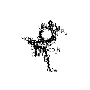 CCCCCCCCCCCCCCCC(=O)CS(=O)(=O)CCCC(=O)N[C@@H](CCC(=O)O)C(=O)N[C@@H](CO)C(=O)N[C@@H](CCC(N)=O)C(=O)N[C@@H](Cc1c[nH]cn1)C(=O)N[C@@H](CCC(=O)O)C(=O)N[C@@H](CCCC)C(=O)N[C@H]1CCC(=O)CCCCC[C@@H](C(N)=O)NC(=O)[C@H](Cc2c[nH]c3ccccc23)NC(=O)[C@H](CCCNC(=N)N)NC(=O)[C@@H](Cc2ccccc2)NC(=O)[C@@H]2C[C@@H](O)CN2C1=O